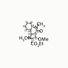 CCOC(=O)c1c(OC)c2c(=O)n(C)c3ccccc3c2n1C